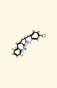 Clc1ccc(CC2Cc3cc4ccccc4nc3N2)cc1